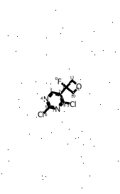 FC1(c2cnc(Cl)nc2Cl)COC1